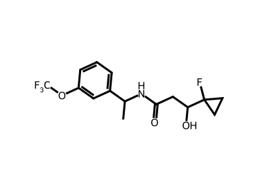 CC(NC(=O)CC(O)C1(F)CC1)c1cccc(OC(F)(F)F)c1